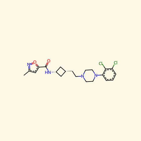 Cc1cc(C(=O)N[C@H]2C[C@@H](CCN3CCN(c4cccc(Cl)c4Cl)CC3)C2)on1